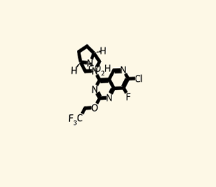 O=C(O)N1[C@@H]2CC[C@H]1CN(c1nc(OCC(F)(F)F)nc3c(F)c(Cl)ncc13)C2